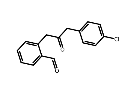 O=Cc1ccccc1CC(=O)Cc1ccc(Cl)cc1